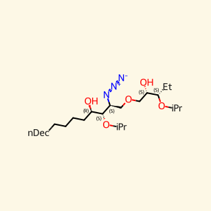 CCCCCCCCCCCCCC[C@@H](O)[C@@H](OC(C)C)[C@H](COC[C@H](O)[C@H](CC)OC(C)C)N=[N+]=[N-]